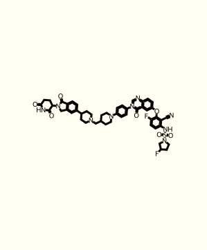 N#Cc1c(NS(=O)(=O)N2CCC(F)C2)ccc(F)c1Oc1ccc2ncn(-c3ccc(N4CCC(CN5CCC(c6ccc7c(c6)CN(C6CCC(=O)NC6=O)C7=O)CC5)CC4)cc3)c(=O)c2c1